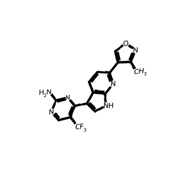 Cc1nocc1-c1ccc2c(-c3nc(N)ncc3C(F)(F)F)c[nH]c2n1